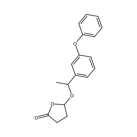 CC(OC1CCC(=O)O1)c1cccc(Oc2ccccc2)c1